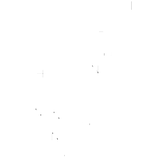 Cc1cc(-c2cccc(OCc3ccc(Cl)cc3F)n2)ccc1Cc1nc2ccc(C(=O)O)nc2n1C[C@@H]1CCO1